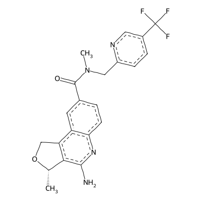 C[C@@H]1OCc2c1c(N)nc1ccc(C(=O)N(C)Cc3ccc(C(F)(F)F)cn3)cc21